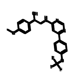 COc1ccc(C(O)CNc2cc(-c3ccc(OC(F)(F)F)cc3)ncn2)cc1